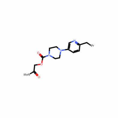 CNC(=O)COC(=O)N1CCN(c2ccc(CC(C)C)nc2)CC1